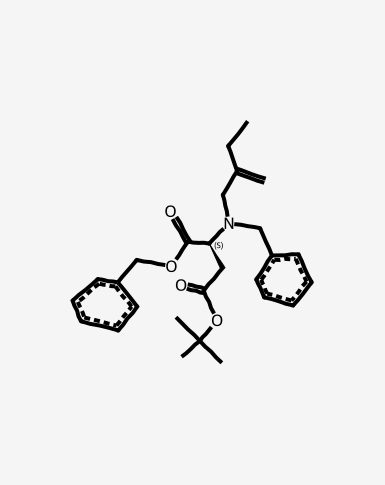 C=C(CC)CN(Cc1ccccc1)[C@@H](CC(=O)OC(C)(C)C)C(=O)OCc1ccccc1